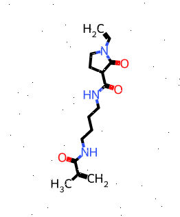 C=CN1CCC(C(=O)NCCCCNC(=O)C(=C)C)C1=O